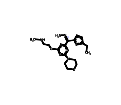 CCc1ccc(/C(=N/N)c2nc(OCCNC)nc(N3CCOCC3)n2)s1